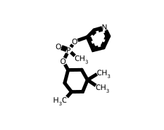 CC1CC(OP(C)(=O)Oc2cccnc2)CC(C)(C)C1